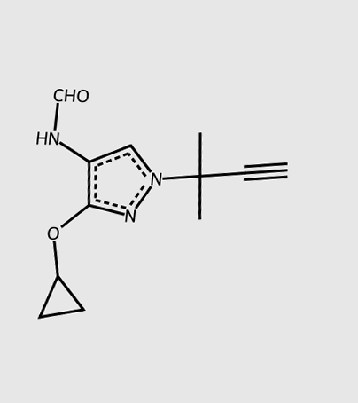 C#CC(C)(C)n1cc(NC=O)c(OC2CC2)n1